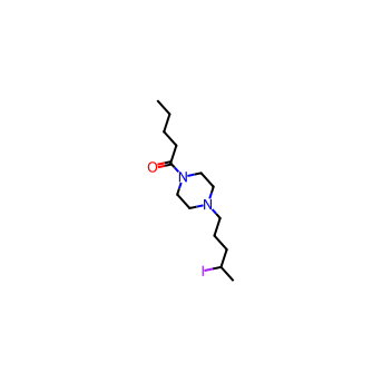 CCCCC(=O)N1CCN(CCCC(C)I)CC1